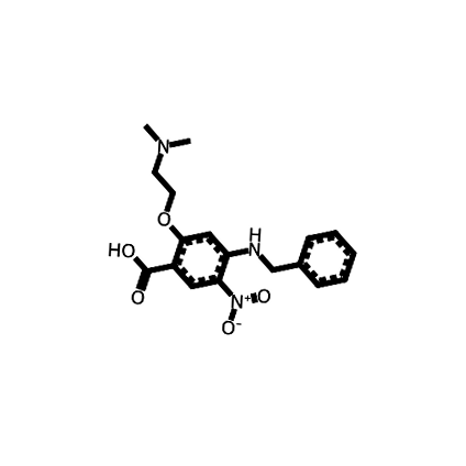 CN(C)CCOc1cc(NCc2ccccc2)c([N+](=O)[O-])cc1C(=O)O